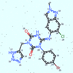 Cn1cc2cc(N=c3[nH]c(=O)n(Cc4cnn[nH]4)c(=O)n3-c3ccc(Br)cc3)c(Cl)cc2n1